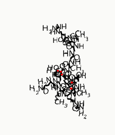 CSCC[C@H](NC(=O)[C@H](Cc1ccc(O)cc1)NC(=O)[C@@H](N)CCC(N)=O)C(=O)N[C@@H](CCCNC(N)=O)C(=O)N[C@@H](C)C(=O)N[C@@H](CC(=O)O)C(=O)N[C@@H](CCC(N)=O)C(=O)N[C@@H](C)C(=O)N[C@@H](C)C(=O)NCC(=O)NCC(=O)N[C@@H](CC(C)C)C(=O)N[C@@H](CCCNC(=N)N)C(=O)O